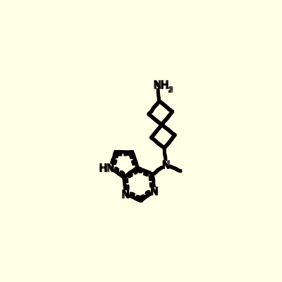 CN(c1ncnc2[nH]ccc12)C1CC2(CC(N)C2)C1